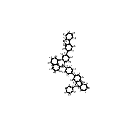 c1ccc(-n2c3ccccc3c3ccc(-c4ccc(N(c5ccc(-c6ccc7c(c6)sc6ccccc67)cc5)c5cccc6ccccc56)cc4)cc32)cc1